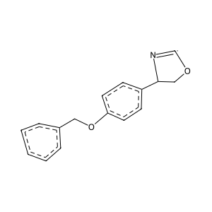 [C]1=NC(c2ccc(OCc3ccccc3)cc2)CO1